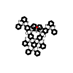 Fc1cccc(F)c1N(c1ccccc1)c1cc2c3c(c1)Oc1c(sc4ccccc14)B3c1cc3c(cc1O2)N(c1c(F)cccc1F)c1cc(N(c2ccccc2)c2ccccc2)cc2c1B3c1cc3c(cc1N2c1c(F)cccc1F)Oc1cc(N(c2ccccc2)c2c(F)cccc2F)cc2c1B3c1sc3ccccc3c1O2